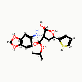 CC(C)OC(=O)[C@]1(Nc2ccc3c(c2)OCO3)C[C@H](c2cccs2)OC1=O